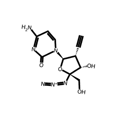 C#C[C@H]1[C@H](n2ccc(N)nc2=O)O[C@@](CO)(N=[N+]=[N-])[C@H]1O